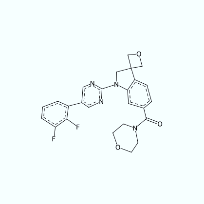 O=C(c1ccc2c(c1)N(c1ncc(-c3cccc(F)c3F)cn1)CC21COC1)N1CCOCC1